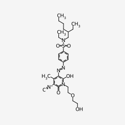 [C-]#[N+]c1c(C)c(/N=N/c2ccc(S(=O)(=O)N(CC)CC(CC)CCCC)cc2)c(O)n(CCOCCO)c1=O